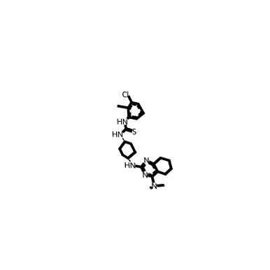 Cc1c(Cl)cccc1NC(=S)N[C@H]1CC[C@@H](Nc2nc3c(c(N(C)C)n2)CCCC3)CC1